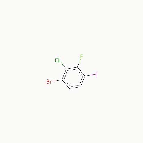 Fc1c(I)ccc(Br)c1Cl